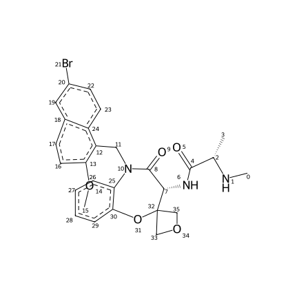 CN[C@@H](C)C(=O)N[C@H]1C(=O)N(Cc2c(OC)ccc3cc(Br)ccc23)c2ccccc2OC12COC2